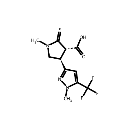 CN1C[C@H](c2cc(C(F)(F)F)n(C)n2)[C@@H](C(=O)O)C1=S